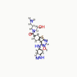 COc1cc2[nH]ncc2cc1Nc1ncnc2sc3c(c12)CC[C@H](C(=O)N(CCO)CCCN(C)C)C3